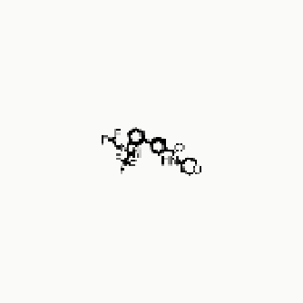 O=C(NC1CCOCC1)c1ccc(-c2cccc3c2nc(C(F)(F)F)n3CC(F)F)cc1